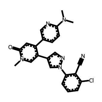 CN(C)c1ccc(-c2cc(=O)n(C)cc2-c2cnn(-c3cccc(Cl)c3C#N)c2)cn1